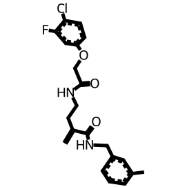 C=C(CCNC(=O)COc1ccc(Cl)c(F)c1)C(=O)NCc1cccc(C)c1